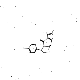 Cc1sc2c(c1C)C(=O)[C@@]1(O)C(=N2)NCC1c1ccc(Cl)cc1